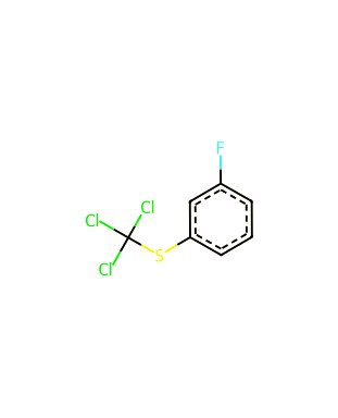 Fc1cccc(SC(Cl)(Cl)Cl)c1